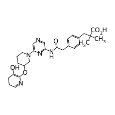 CC(C)(Cc1ccc(CC(=O)Nc2cncc(N3CCCC(OC4=C(O)CCC=N4)C3)n2)cc1)C(=O)O